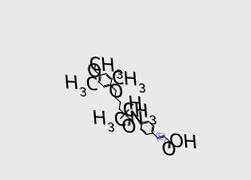 COc1cc(C)c(OCCCC(C)(C)C(=O)Nc2ccc(/C=C/C(=O)O)cc2)cc1C